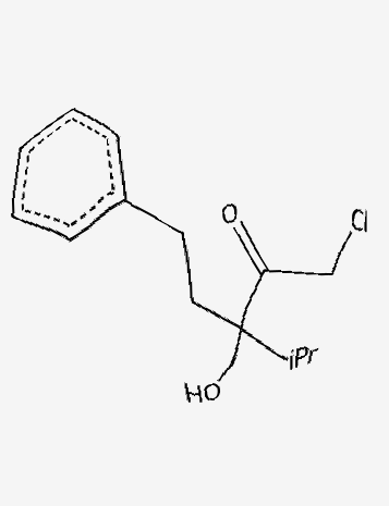 CC(C)C(O)(CCc1ccccc1)C(=O)CCl